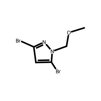 COCn1nc(Br)cc1Br